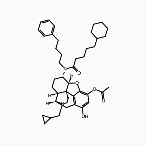 CC(=O)Oc1cc(O)c2c3c1O[C@H]1[C@@H](N(CCCCc4ccccc4)C(=O)CCCCC4CCCCC4)CC[C@H]4[C@@H](C2)N(CC2CC2)CC[C@@]341